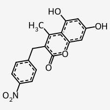 Cc1c(Cc2ccc([N+](=O)[O-])cc2)c(=O)oc2cc(O)cc(O)c12